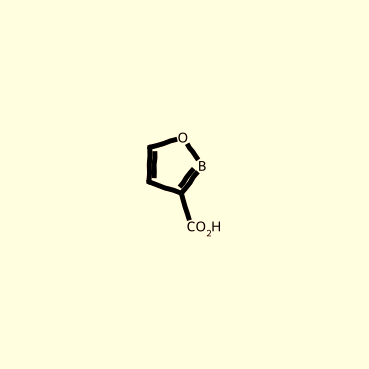 O=C(O)c1bocc1